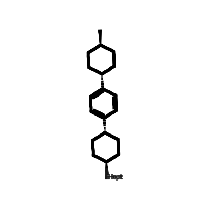 CCCCCCC[C@H]1CC[C@H](c2ccc([C@H]3CC[C@H](C)CC3)cc2)CC1